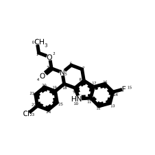 CCOC(=O)N1CCc2c([nH]c3ccc(F)cc23)C1c1ccc(Cl)cc1